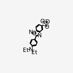 CCN(CC)c1ccc(-c2nc3cc(S(=O)(=O)[O-])ccc3o2)cc1.[Na+]